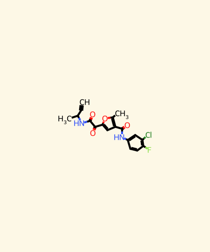 C#CC(C)NC(=O)C(=O)c1cc(C(=O)Nc2ccc(F)c(Cl)c2)c(C)o1